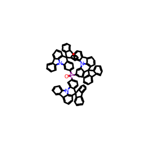 O=P(c1ccc2c(c1)-n1c3ccccc3c3cccc(c31)C21c2ccccc2-c2ccccc21)(c1ccc2c(c1)-n1c3ccccc3c3cccc(c31)C21c2ccccc2-c2ccccc21)c1ccc2c(c1)-n1c3ccccc3c3cccc(c31)C21c2ccccc2-c2ccccc21